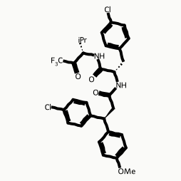 COc1ccc([C@H](CC(=O)N[C@@H](Cc2ccc(Cl)cc2)C(=O)N[C@H](C(=O)C(F)(F)F)C(C)C)c2ccc(Cl)cc2)cc1